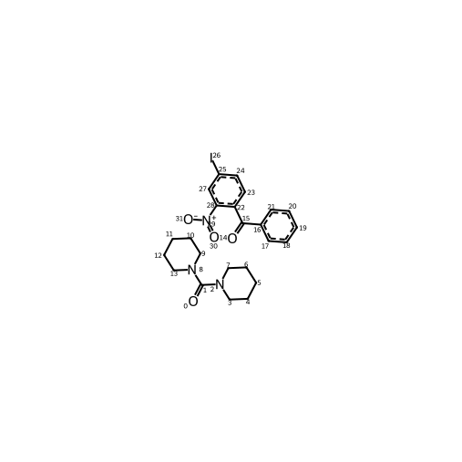 O=C(N1CCCCC1)N1CCCCC1.O=C(c1ccccc1)c1ccc(I)cc1[N+](=O)[O-]